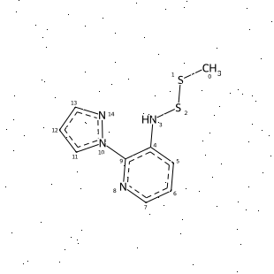 CSSNc1cccnc1-n1cccn1